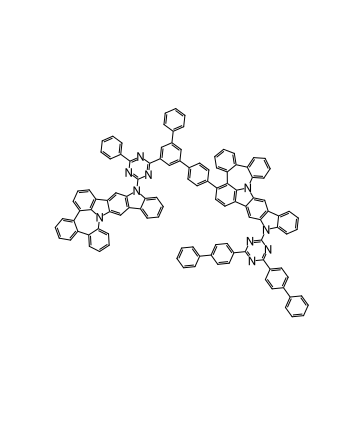 c1ccc(-c2ccc(-c3nc(-c4ccc(-c5ccccc5)cc4)nc(-n4c5ccccc5c5cc6c(cc54)c4ccc(-c5ccc(-c7cc(-c8ccccc8)cc(-c8nc(-c9ccccc9)nc(-n9c%10ccccc%10c%10cc%11c(cc%109)c9cccc%10c9n%11-c9ccccc9-c9ccccc9-%10)n8)c7)cc5)c5c4n6-c4ccccc4-c4ccccc4-5)n3)cc2)cc1